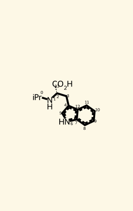 CC(C)N[C@@H](Cc1c[nH]c2ccccc12)C(=O)O